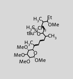 CCC(OC)C(C)/C=C/C(O[Si](C)(C)C(C)(C)C)C(C)/C=C/C=C(\C)[C@H]1O[C@H](OC)[C@H](OC)[C@@H](OC)[C@@H]1OC